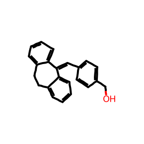 OCc1ccc(C=C2c3ccccc3CCc3ccccc32)cc1